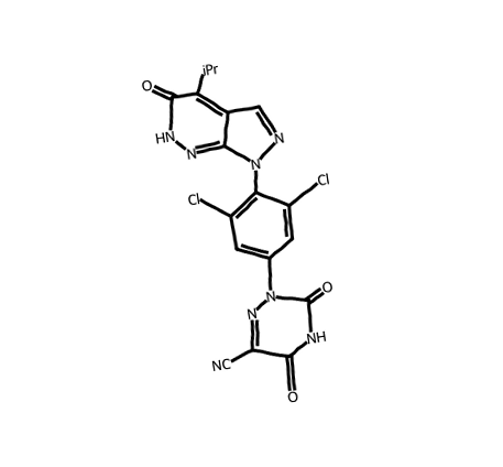 CC(C)c1c(=O)[nH]nc2c1cnn2-c1c(Cl)cc(-n2nc(C#N)c(=O)[nH]c2=O)cc1Cl